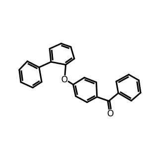 O=C(c1ccccc1)c1ccc(Oc2ccccc2-c2ccccc2)cc1